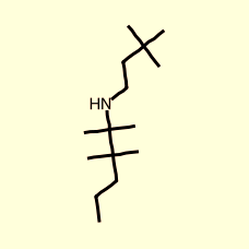 CCCC(C)(C)C(C)(C)NCCC(C)(C)C